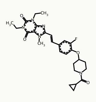 CCn1c(=O)c2c(nc(/C=C/c3ccc(OC4CCN(C(=O)C5CC5)CC4)c(F)c3)n2C)n(CC)c1=O